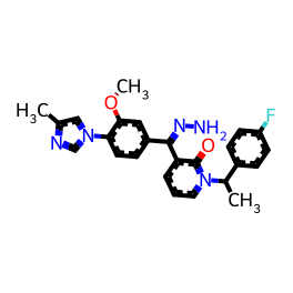 COc1cc(/C(=N/N)c2cccn(C(C)c3ccc(F)cc3)c2=O)ccc1-n1cnc(C)c1